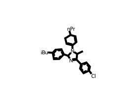 CCCC1C=CC(N2C(C)C(c3ccc(Cl)cc3)=NC2c2ccc(C(C)CC)cc2)=CC1